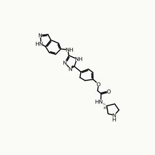 O=C(COC1=CC=C(c2nnc(Nc3ccc4[nH]ncc4c3)[nH]2)CC1)N[C@@H]1CCNC1